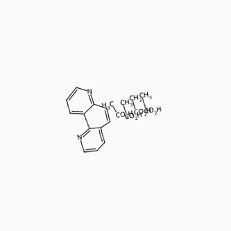 CC(=O)O.CC(=O)O.CC(=O)O.CC(=O)O.c1cnc2c(c1)ccc1ncccc12